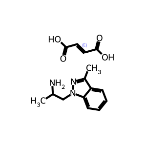 Cc1nn(CC(C)N)c2ccccc12.O=C(O)/C=C/C(=O)O